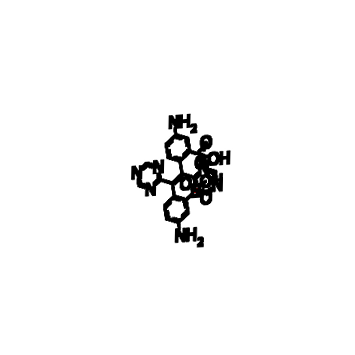 Nc1ccc(C(=C(c2ncncn2)c2ccc(N)cc2S(=O)(=O)O)c2ncncn2)c(S(=O)(=O)O)c1